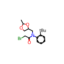 CC1OCC(CN(C(=O)CBr)c2ccccc2C(C)(C)C)O1